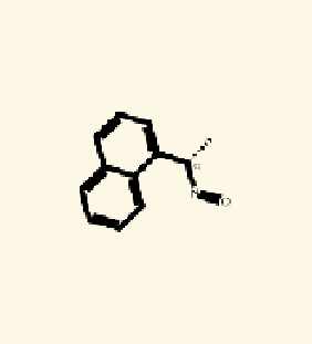 C[C@H](N=O)c1cccc2ccccc12